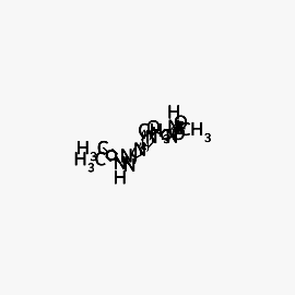 Cc1ccc(Nc2ncc3c(n2)CN([C@@H]2CCN(C(=O)c4ccnc(NS(C)(=O)=O)c4)[C@H](C)C2)C3)cc1C